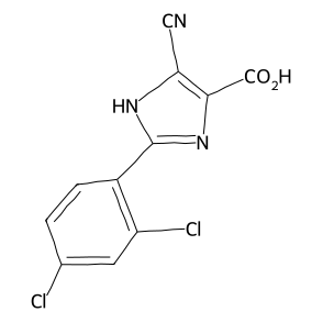 N#Cc1[nH]c(-c2ccc(Cl)cc2Cl)nc1C(=O)O